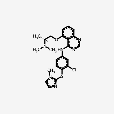 C[C@H](COc1cccc2ncnc(Nc3ccc(Sc4nccn4C)c(Cl)c3)c12)N(C)C